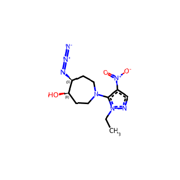 CCn1ncc([N+](=O)[O-])c1N1CC[C@@H](O)[C@@H](N=[N+]=[N-])CC1